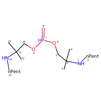 CCCCCNC(C)(C)CO[PH](=O)OCC(C)(C)NCCCCC